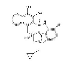 Oc1ccc2c3c1N[C@H]1c4c(O)c(O)c5ccccc5c4C[C@@]4(O)C(C2)N(CC2CC2)CC[C@]314